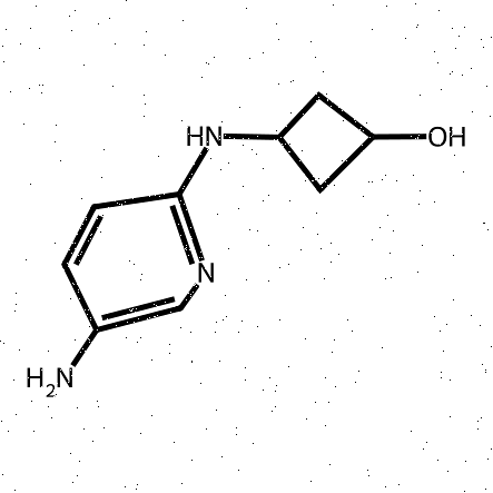 Nc1ccc(NC2CC(O)C2)nc1